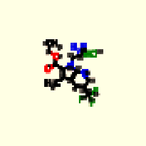 CCOC(=O)c1c(C)c2cc(C(F)(F)F)cnc2n1CCN.Cl